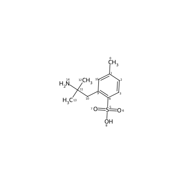 Cc1ccc(S(=O)(=O)O)c(CC(C)(C)N)c1